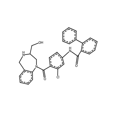 O=C(Nc1ccc(C(=O)N2CC(CO)NCc3ccccc32)c(Cl)c1)c1ccccc1-c1ccccc1